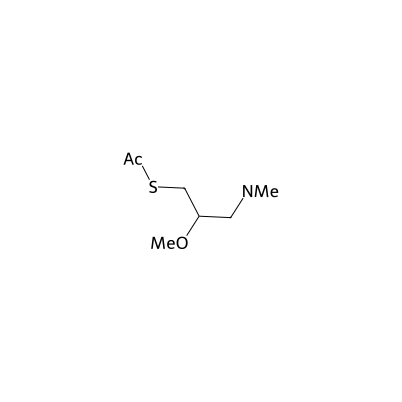 CNCC(CSC(C)=O)OC